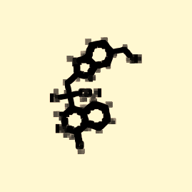 CCC(Cc1nc2cc(CS)ccc2s1)(C(=O)O)c1n[nH]c(=O)c2ccccc12